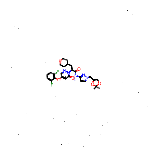 CC1(C)OCC(Cn2ccc(NC(=O)C(CC3CCOCC3)n3ncc(Oc4c(F)cccc4F)cc3=O)n2)O1